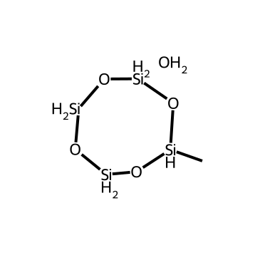 C[SiH]1O[SiH2]O[SiH2]O[SiH2]O1.O